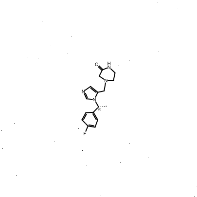 C[C@H](c1ccc(F)cc1)n1cncc1CN1CCNC(=O)C1